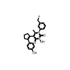 CCCn1c(=O)c(C2=C(c3ccc(C#N)cc3)CCC2)c(C)n(-c2cccc(CF)c2)c1=O